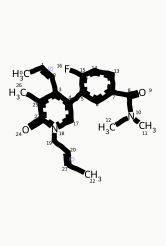 C/C=C\c1c(-c2cc(C(=O)N(C)C)ccc2F)cn(C/C=C/C)c(=O)c1C